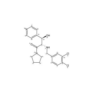 O=C([C@@H](NCc1ccc(Cl)c(Cl)c1)[C@H](O)c1ccncc1)N1CCCC1